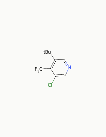 CC(C)(C)c1cncc(Cl)c1C(F)(F)F